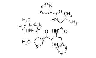 C=C1SCN(C(=O)[C@@H](O)[C@H](Cc2ccccc2)NC(=O)[C@@H](NC(=O)c2ccccn2)C(C)C)[C@@H]1C(=O)NC(C)(C)C